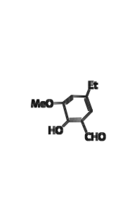 CCc1cc(C=O)c(O)c(OC)c1